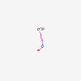 CNC(Cc1ccc(NC(=O)CNC(=O)CNC(=O)CNC(=O)CCC(=O)N2Cc3ccccc3C#Cc3ccccc32)cc1)CC(C)(C)C(=O)O